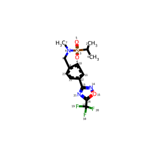 CC(C)S(=O)(=O)N(C)Cc1ccc(-c2noc(C(F)(F)F)n2)cc1